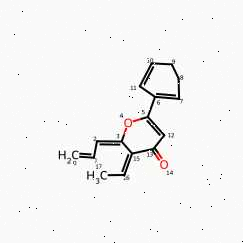 C=C/C=c1/oc(C2=CCCC=C2)cc(=O)/c1=C/C